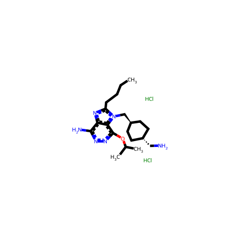 CCCCc1nc2c(N)nnc(OC(C)C)c2n1C[C@H]1CC[C@H](CN)CC1.Cl.Cl